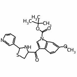 COc1ccc2c(C(=O)C3CSC(c4cccnc4)N3)cn(C(=O)OC(C)(C)C)c2c1